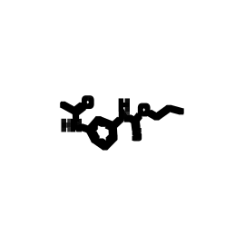 CCCOC(=S)Nc1cccc(NC(C)=O)c1